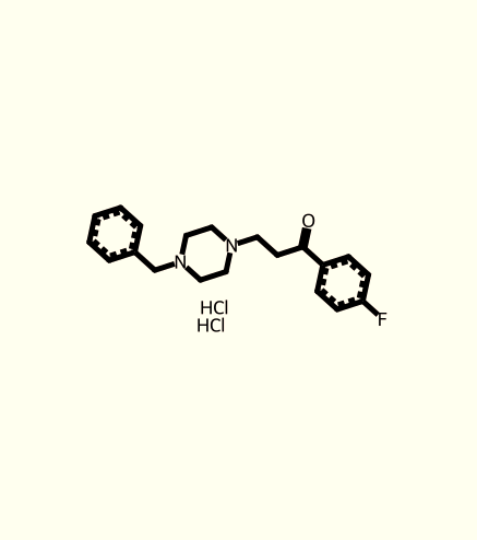 Cl.Cl.O=C(CCN1CCN(Cc2ccccc2)CC1)c1ccc(F)cc1